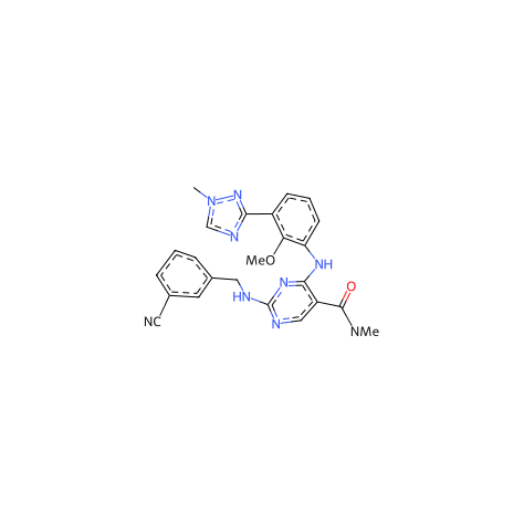 CNC(=O)c1cnc(NCc2cccc(C#N)c2)nc1Nc1cccc(-c2ncn(C)n2)c1OC